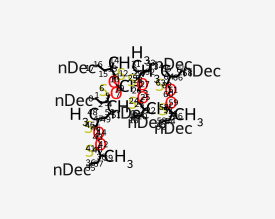 CCCCCCCCCCCCC(C)C(=S)OC(C)OC(=S)C(C)CCCCCCCCCCCC.CCCCCCCCCCCCC(C)C(=S)OCOC(=S)C(C)CCCCCCCCCCCC.CCCCCCCCCCCCC(C)C(=S)OCOC(=S)C(C)CCCCCCCCCCCC.CCCCCCCCCCCCC(C)C(=S)OCOC(=S)C(C)CCCCCCCCCCCC